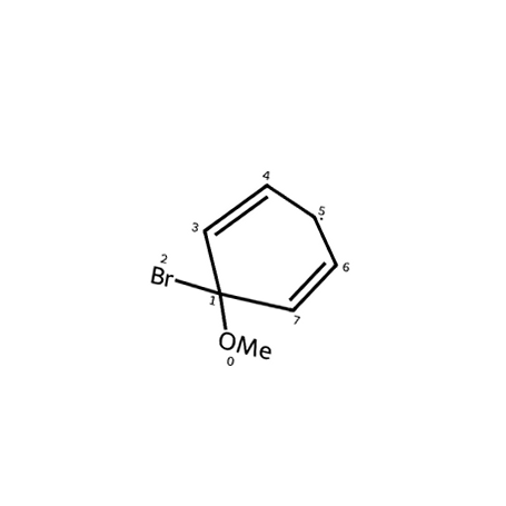 COC1(Br)C=C[CH]C=C1